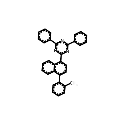 Cc1ccccc1-c1ccc(-c2nc(-c3ccccc3)nc(-c3ccccc3)n2)c2ccccc12